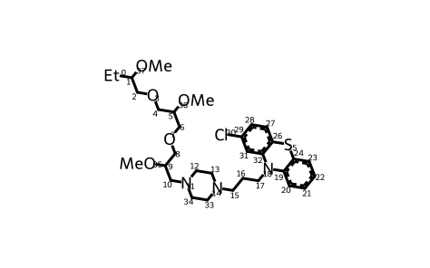 CCC(COCC(COCC(CN1CCN(CCCN2c3ccccc3Sc3ccc(Cl)cc32)CC1)OC)OC)OC